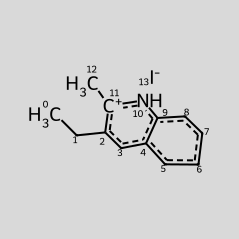 CCc1cc2ccccc2[nH][c+]1C.[I-]